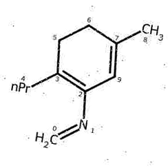 C=NC1=C(CCC)CCC(C)=C1